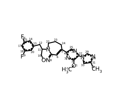 COc1nc(C2=CC3=NOCC(Cc4cc(F)cc(F)c4)N3CCC2)cnc1-n1cnc(C)c1